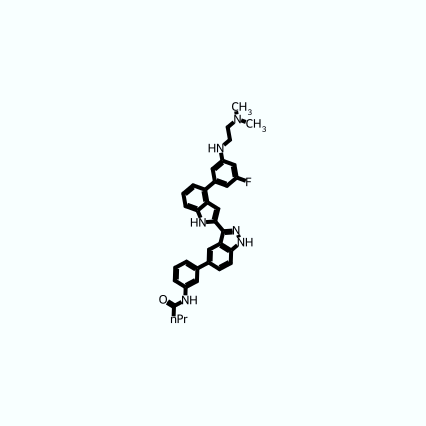 CCCC(=O)Nc1cccc(-c2ccc3[nH]nc(-c4cc5c(-c6cc(F)cc(NCCN(C)C)c6)cccc5[nH]4)c3c2)c1